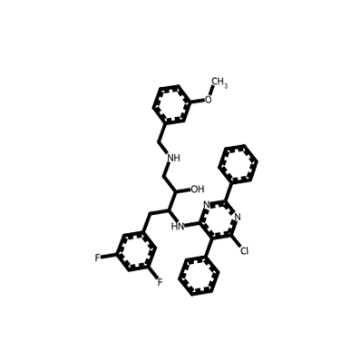 COc1cccc(CNCC(O)C(Cc2cc(F)cc(F)c2)Nc2nc(-c3ccccc3)nc(Cl)c2-c2ccccc2)c1